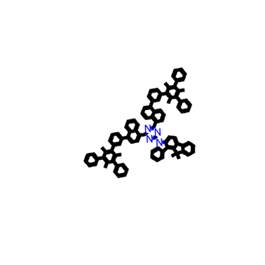 Cc1c(-c2ccccc2)c(C)c(-c2cccc(-c3cccc4c(-c5nc(-c6ccc(-c7cccc(-c8c(C)c(-c9ccccc9)c(C)c(-c9ccccc9)c8C)c7)c7ccccc67)nc(-n6c7ccccc7c7c8c(ccc76)-c6ccccc6C8(C)C)n5)cccc34)c2)c(C)c1-c1ccccc1